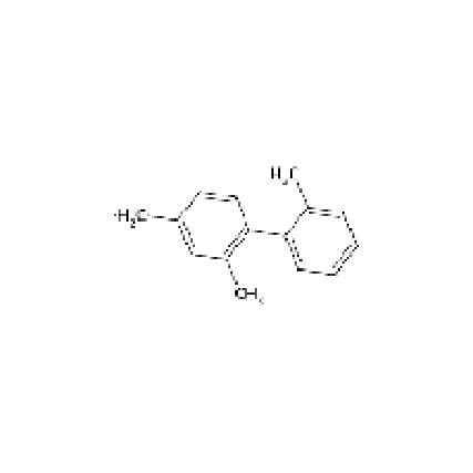 [CH2]c1ccc(-c2ccccc2C)c(C)c1